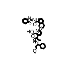 COCCC(C1CCCCC1)n1ncc(-c2ccc(N3CCc4cccc(C(=O)Nc5nc6ccccc6s5)c4C3)nc2C(=O)O)c1C